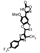 CCC(Oc1cc(OC)c(-c2noc(=O)[nH]2)cc1F)c1sc(-c2ccc(C(F)(F)F)cc2)nc1C